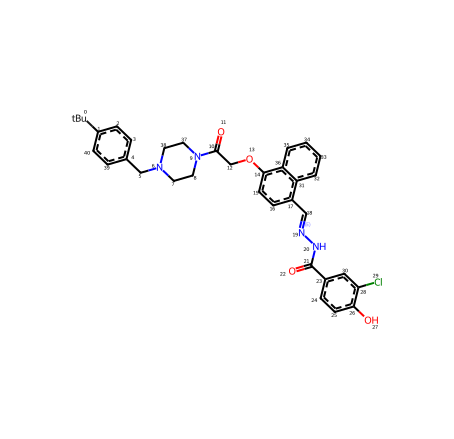 CC(C)(C)c1ccc(CN2CCN(C(=O)COc3ccc(/C=N/NC(=O)c4ccc(O)c(Cl)c4)c4ccccc34)CC2)cc1